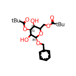 CC(C)(C)C(=O)OCC1O[C@@H](OCc2ccccc2)C(O)[C@@H](OC(=O)C(C)(C)C)[C@H]1O